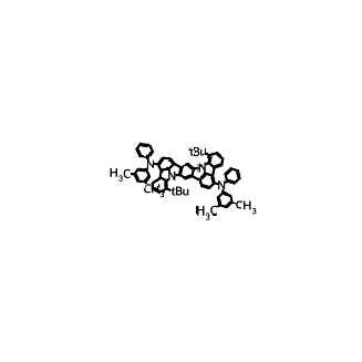 Cc1cc(C)cc(N(c2ccccc2)c2ccc3c4cc5c(cc4n4c6c(C(C)(C)C)cccc6c2c34)c2ccc(N(c3ccccc3)c3cc(C)cc(C)c3)c3c4cccc(C(C)(C)C)c4n5c23)c1